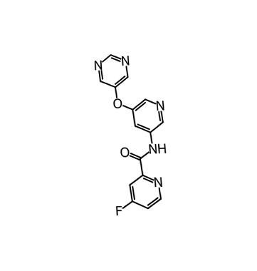 O=C(Nc1cncc(Oc2cncnc2)c1)c1cc(F)ccn1